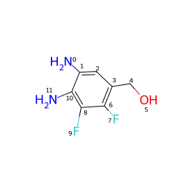 Nc1cc(CO)c(F)c(F)c1N